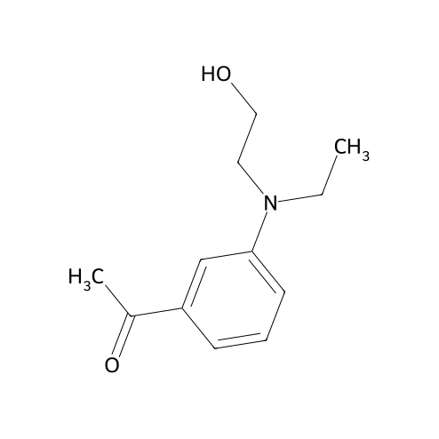 CCN(CCO)c1cccc(C(C)=O)c1